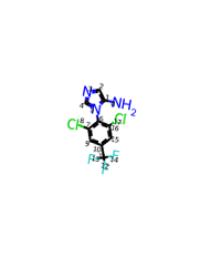 Nc1cncn1-c1c(Cl)cc(C(F)(F)F)cc1Cl